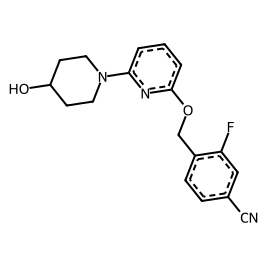 N#Cc1ccc(COc2cccc(N3CCC(O)CC3)n2)c(F)c1